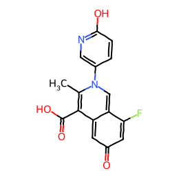 Cc1c(C(=O)O)c2cc(=O)cc(F)c-2cn1-c1ccc(O)nc1